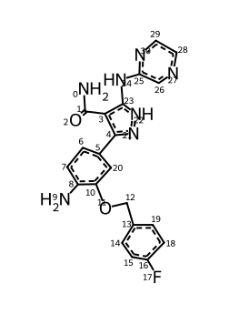 NC(=O)c1c(-c2ccc(N)c(OCc3ccc(F)cc3)c2)n[nH]c1Nc1cnccn1